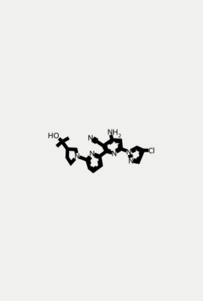 CC(C)(O)C1CCN(c2cccc(-c3nc(-n4cc(Cl)cn4)cc(N)c3C#N)n2)C1